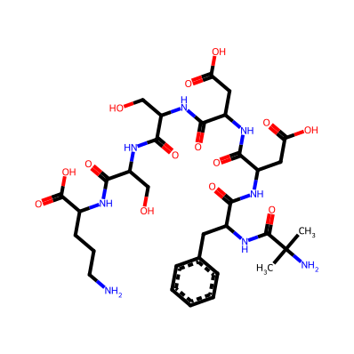 CC(C)(N)C(=O)NC(Cc1ccccc1)C(=O)NC(CC(=O)O)C(=O)NC(CC(=O)O)C(=O)NC(CO)C(=O)NC(CO)C(=O)NC(CCCN)C(=O)O